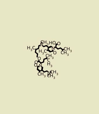 Cc1cc(=O)n(C(CCC(C)C)C(=O)OCCC[C@@H](C)CCN(C)CCc2cn(C(CCC(C)C)C(=O)O)c(=O)cc2C)cc1CCN(C)C